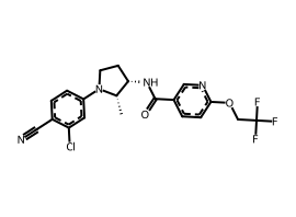 C[C@H]1[C@@H](NC(=O)c2ccc(OCC(F)(F)F)nc2)CCN1c1ccc(C#N)c(Cl)c1